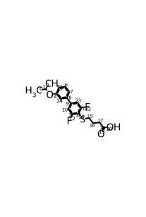 CC(C)Oc1cccc(-c2cc(F)c(SCCCC(=O)O)c(F)c2)c1